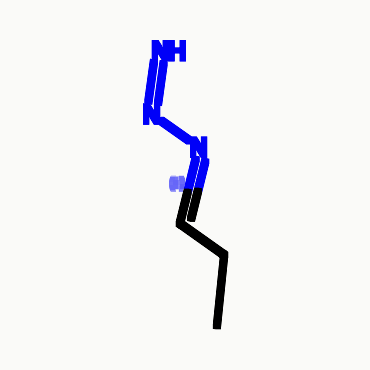 CC/C=N/N=N